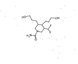 NC(=O)N1CC(CCCO)C(CCCO)C(C(F)F)C1